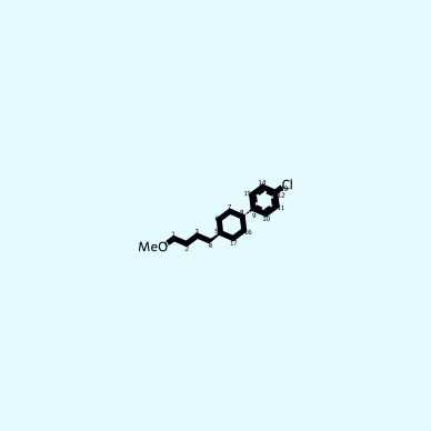 COCCCC[C@H]1CC[C@H](c2ccc(Cl)cc2)CC1